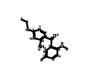 CCSc1ncc(C(=O)c2cc(C)ccc2OC)c(N)n1